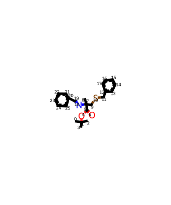 CC(C)(C)OC(=O)C(C)(CSCc1ccccc1)/N=C/c1ccccc1